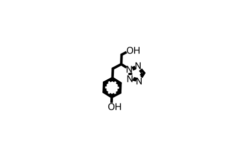 OCC(Cc1ccc(O)cc1)n1ncnn1